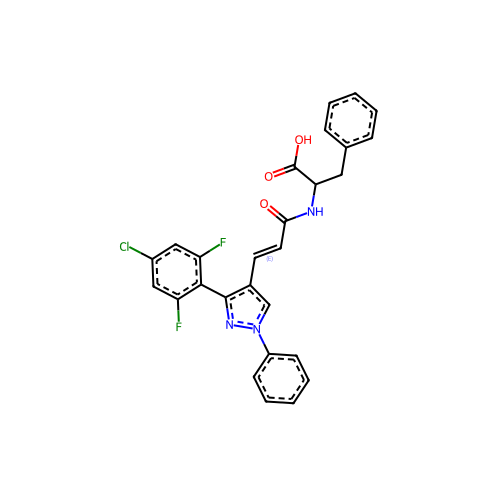 O=C(/C=C/c1cn(-c2ccccc2)nc1-c1c(F)cc(Cl)cc1F)NC(Cc1ccccc1)C(=O)O